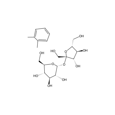 Cc1ccccc1C.OC[C@H]1O[C@@](CO)(O[C@H]2O[C@H](CO)[C@@H](O)[C@H](O)[C@H]2O)[C@@H](O)[C@@H]1O